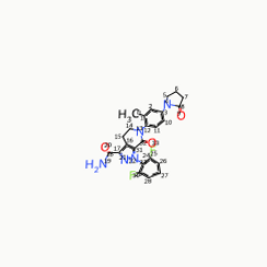 Cc1cc(N2CCCC2=O)ccc1N1CCc2c(C(N)=O)nn(-c3c(F)cccc3F)c2C1=O